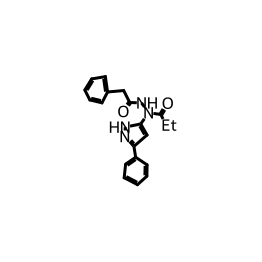 CCC(=O)N(NC(=O)Cc1ccccc1)c1cc(-c2ccccc2)n[nH]1